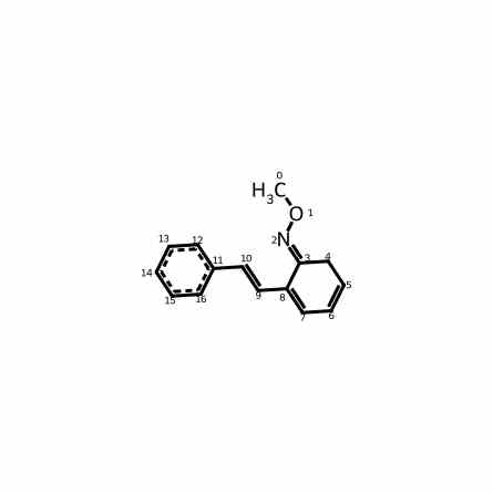 CON=C1CC=CC=C1C=Cc1ccccc1